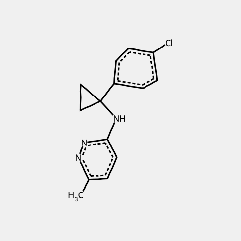 Cc1ccc(NC2(c3ccc(Cl)cc3)CC2)nn1